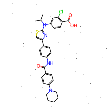 CC(C)N(c1ccc(C(=O)O)c(Cl)c1)c1nc(-c2ccc(NC(=O)c3ccc(N4CCCCC4)cc3)cc2)cs1